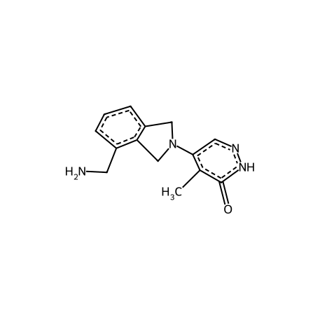 Cc1c(N2Cc3cccc(CN)c3C2)cn[nH]c1=O